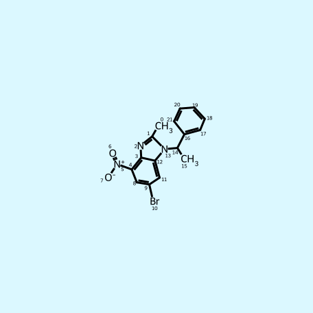 Cc1nc2c([N+](=O)[O-])cc(Br)cc2n1C(C)c1ccccc1